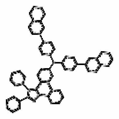 c1ccc(-c2oc3c4ccccc4c4cc(N(c5ccc(-c6ccc7ccccc7c6)cc5)c5ccc(-c6ccc7ccccc7c6)cc5)ccc4c3c2-c2ccccc2)cc1